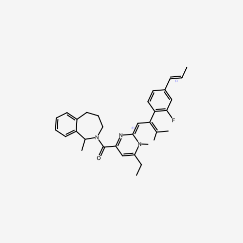 C/C=C/c1ccc(C(/C=C2/N=C(C(=O)N3CCCc4ccccc4C3C)C=C(CC)N2C)=C(C)C)c(F)c1